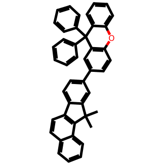 CC1(C)c2cc(-c3ccc4c(c3)C(c3ccccc3)(c3ccccc3)c3ccccc3O4)ccc2-c2ccc3ccccc3c21